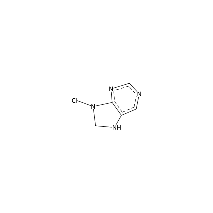 ClN1CNc2cncnc21